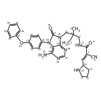 CC(C)(CNC(=O)C(C#N)=CC1CCCN1)Cn1c(=O)n(-c2ccc(Oc3ccccc3)cc2)c2c(N)ncnc21